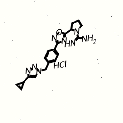 Cl.N=C(N)N1CCCC1c1nc(-c2ccc(Cn3cc(C4CC4)nn3)cc2)no1